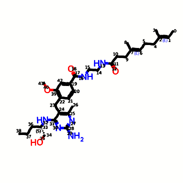 C/C=C(\C)CC/C=C(\C)CCC(=O)NCCNC(=O)c1ccc(Cc2c(C)nc(N)nc2N[C@H](CO)CCC)c(OC)c1